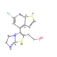 OCCC1=C(c2cc(F)cc3sccc23)N2CCN=C2S1